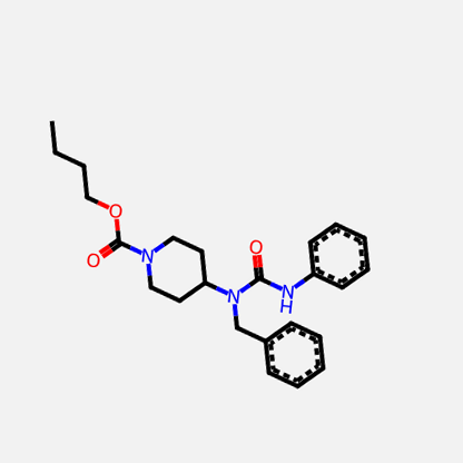 CCCCOC(=O)N1CCC(N(Cc2ccccc2)C(=O)Nc2ccccc2)CC1